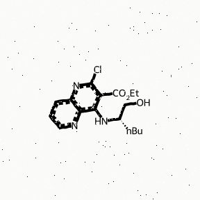 CCCC[C@@H](CO)Nc1c(C(=O)OCC)c(Cl)nc2cccnc12